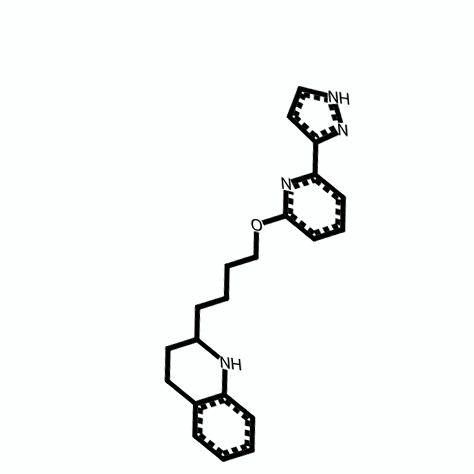 c1cc(OCCCCC2CCc3ccccc3N2)nc(-c2cc[nH]n2)c1